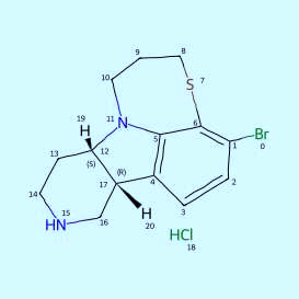 Brc1ccc2c3c1SCCCN3[C@H]1CCNC[C@@H]21.Cl